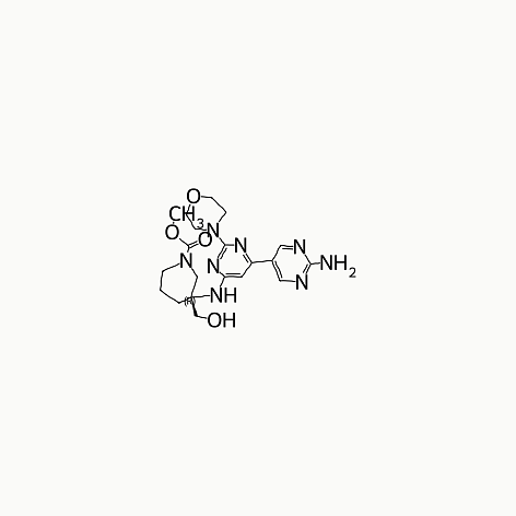 COC(=O)N1CCC[C@@](CO)(Nc2cc(-c3cnc(N)nc3)nc(N3CCOCC3)n2)C1